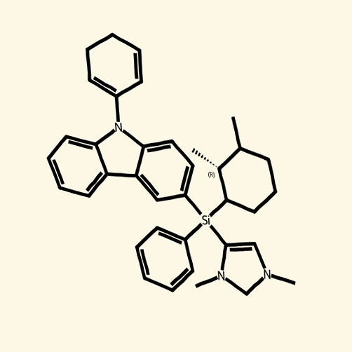 CC1CCCC([Si](C2=CN(C)CN2C)(c2ccccc2)c2ccc3c(c2)c2ccccc2n3C2=CCCC=C2)[C@@H]1C